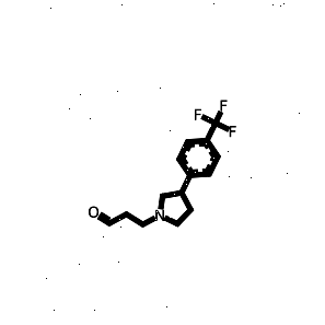 O=CCCN1CCC(c2ccc(C(F)(F)F)cc2)C1